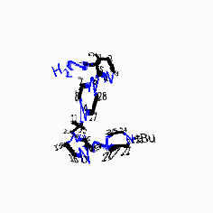 Cc1ccnc(N2CCN(C(C)(C)C[n+]3ccnc(N4CCN(C(C)(C)C)CC4)c3)CC2)c1N